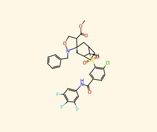 COC(=O)C1CON(Cc2ccccc2)[C@]12CC1CCC(C2)[C@@H]1S(=O)(=O)c1cc(C(=O)Nc2cc(F)c(F)c(F)c2)ccc1Cl